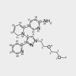 COCCOCCn1cc(N2CC=CC=C2c2ccc(N)nc2)c(-c2ccccn2)n1